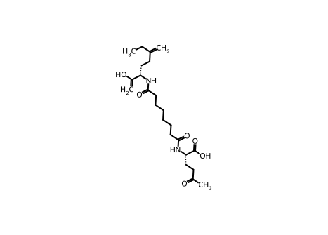 C=C(CC)CC[C@H](NC(=O)CCCCCCC(=O)N[C@@H](CCC(C)=O)C(=O)O)C(=C)O